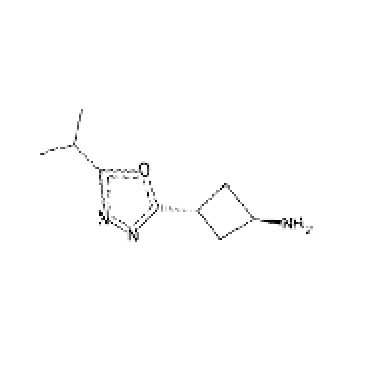 CC(C)c1nnc([C@H]2C[C@H](N)C2)o1